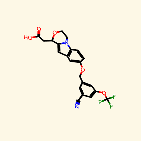 N#Cc1cc(COc2ccc3c(c2)cc2n3CCOC2CC(=O)O)cc(OC(F)(F)F)c1